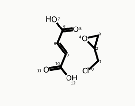 ClCC1CO1.O=C(O)C=CC(=O)O